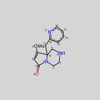 COC1=CC(=O)N2CCNCC12Cc1ccccn1